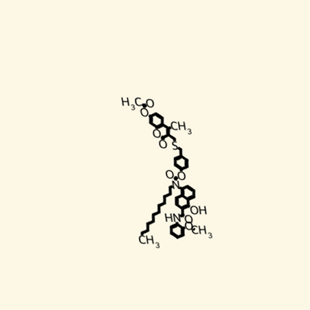 CCCCCCCCCCCCN(C(=O)Oc1ccc(CSCc2c(C)c3ccc(OC(C)=O)cc3oc2=O)cc1)c1cccc2c(O)c(C(=O)Nc3ccccc3OC)ccc12